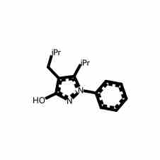 CC(C)Cc1c(O)nn(-c2ccccc2)c1C(C)C